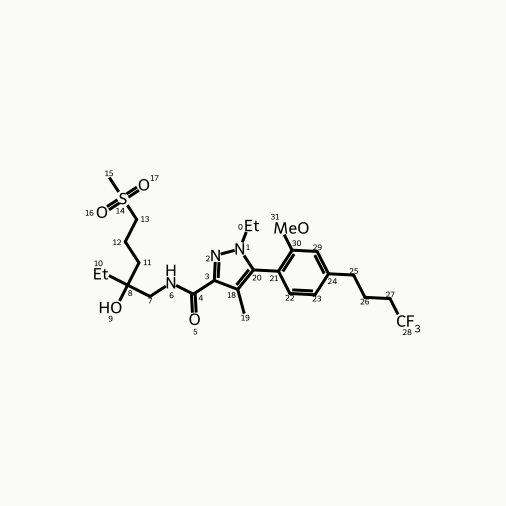 CCn1nc(C(=O)NCC(O)(CC)CCCS(C)(=O)=O)c(C)c1-c1ccc(CCCC(F)(F)F)cc1OC